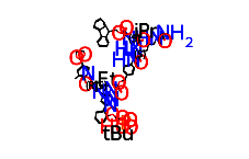 CC[C@@]12C[C@@H](Oc3ncc(C4OCCO4)cc3C)CN1c1cc(-c3ccccc3OCOP(=O)(O)OC(C)(C)C)nnc1N(C(=O)OCc1ccc(NC(=O)[C@H](CCCNC(N)=O)NC(=O)[C@@H](NC(=O)OCC3c4ccccc4-c4ccccc43)C(C)C)cc1)C2